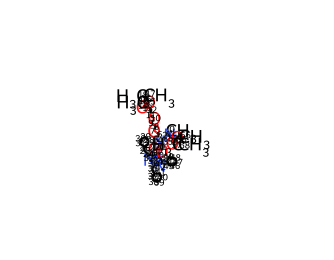 CN(CCN(CCOCCOCCC(=O)OC(C)(C)C)C(=O)Oc1c(Cc2ccccc2)nc2c(Cc3ccccc3)nc(-c3ccccc3)cn12)C(=O)OC(C)(C)C